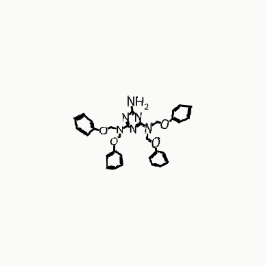 Nc1nc(N(COc2ccccc2)COc2ccccc2)nc(N(COc2ccccc2)COc2ccccc2)n1